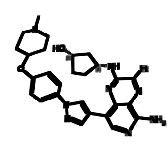 CCc1nc2c(N)ncc(-c3cnn(-c4ccc(OC5CCN(C)CC5)cc4)c3)c2nc1N[C@@H]1CC[C@H](O)C1